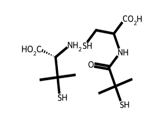 CC(C)(S)C(=O)NC(CS)C(=O)O.CC(C)(S)[C@@H](N)C(=O)O